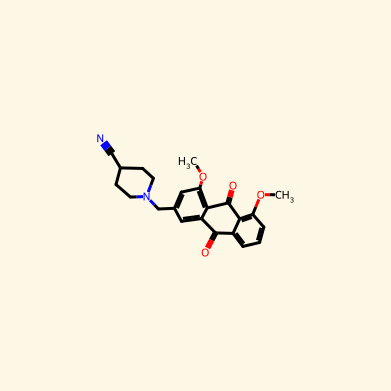 COc1cccc2c1C(=O)c1c(OC)cc(CN3CCC(C#N)CC3)cc1C2=O